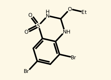 CCOC1Nc2c(Br)cc(Br)cc2S(=O)(=O)N1